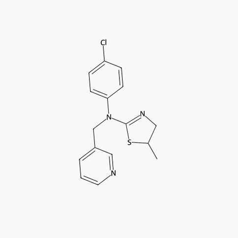 CC1CN=C(N(Cc2cccnc2)c2ccc(Cl)cc2)S1